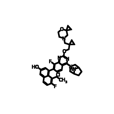 CCc1c(F)ccc2cc(O)cc(-c3c(Cl)cc4c(N5CC6CCC(C5)N6)nc(OCC5(CN6CCOC7(CC7)C6)CC5)nc4c3F)c12